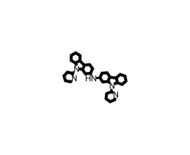 c1ccc(-n2c3ccccc3c3ccc(Nc4ccc5c6ccccc6n(-c6ccccn6)c5c4)cc32)nc1